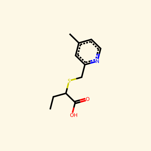 CCC(SCc1cc(C)ccn1)C(=O)O